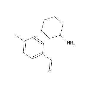 Cc1ccc(C=O)cc1.NC1CCCCC1